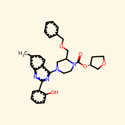 Cc1ccc2c(N3CCN(C(=O)O[C@@H]4CCOC4)C(COCc4ccccc4)C3)nc(-c3ccccc3O)nc2c1